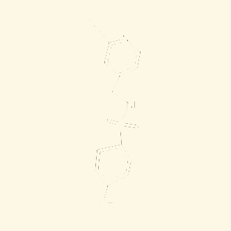 Cc1ccc(S(=O)(=O)NCc2ccnc(Cl)c2)cc1